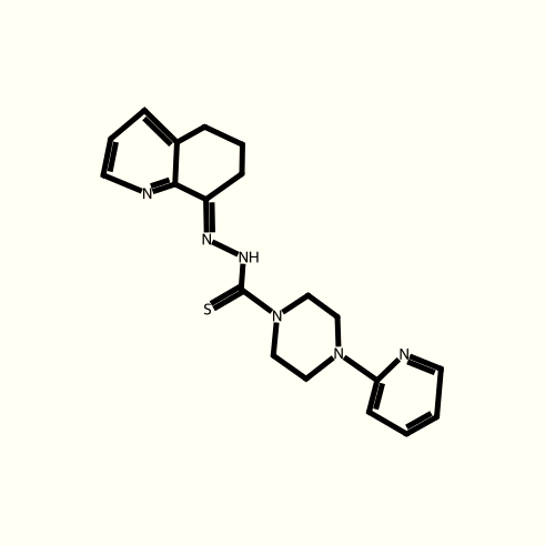 S=C(NN=C1CCCc2cccnc21)N1CCN(c2ccccn2)CC1